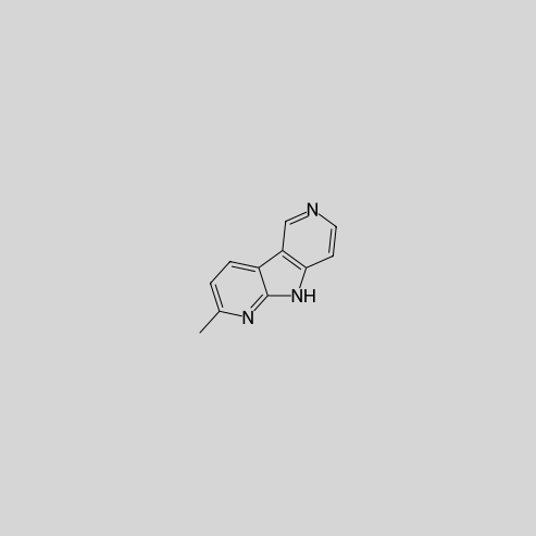 Cc1ccc2c(n1)[nH]c1ccncc12